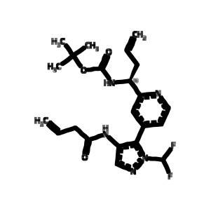 C=CCC(=O)Nc1cnn(C(F)F)c1-c1ccnc([C@H](CC=C)NC(=O)OC(C)(C)C)c1